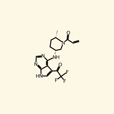 C=CC(=O)N1C[C@H](Nc2ncnc3[nH]cc(C(=O)C(F)(F)F)c23)CC[C@@H]1C